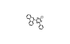 Clc1nc(-c2ccccc2)nc(-c2cc3ccccc3c3ccccc23)n1